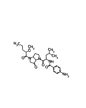 CCCC(OC)C(=O)N1CC(=O)C2C1CCN2C(=O)C(CC(C)C)NC(=O)c1ccc(N)cc1